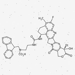 CC[C@@]1(O)C(=O)OCc2c1cc1n(c2=O)Cc2c-1nc1cc(F)c(C)c3c1c2[C@@H](NC(=O)NCCN(CC1c2ccccc2-c2ccccc21)C(=O)O)CC3